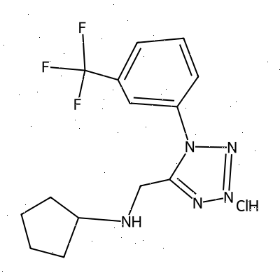 Cl.FC(F)(F)c1cccc(-n2nnnc2CNC2CCCC2)c1